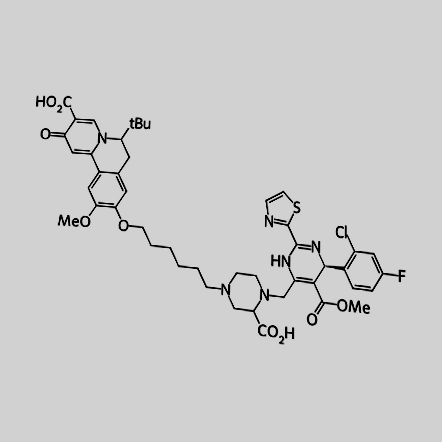 COC(=O)C1=C(CN2CCN(CCCCCCOc3cc4c(cc3OC)-c3cc(=O)c(C(=O)O)cn3C(C(C)(C)C)C4)CC2C(=O)O)NC(c2nccs2)=N[C@H]1c1ccc(F)cc1Cl